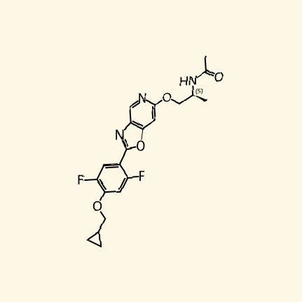 CC(=O)N[C@@H](C)COc1cc2oc(-c3cc(F)c(OCC4CC4)cc3F)nc2cn1